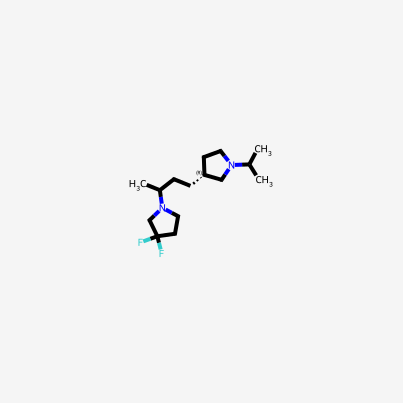 CC(C)N1CC[C@@H](CCC(C)N2CCC(F)(F)C2)C1